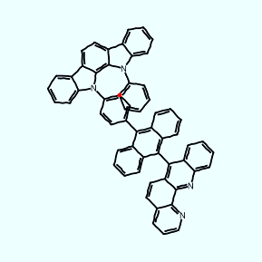 c1ccc(-n2c3ccccc3c3ccc4c5ccccc5n(-c5ccc(-c6c7ccccc7c(-c7c8ccccc8nc8c7ccc7cccnc78)c7ccccc67)cc5)c4c32)cc1